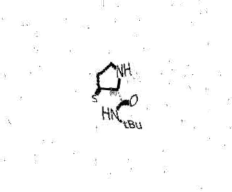 CC(C)(C)NC(=O)[C@H]1NCCC1=S